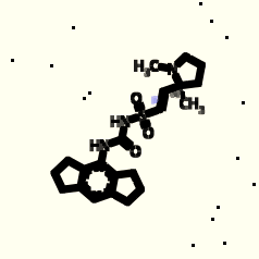 CN1CCC[C@@]1(C)/C=C/S(=O)(=O)NC(=O)Nc1c2c(cc3c1CCC3)CCC2